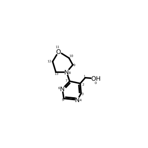 OCc1cn[c]nc1N1CCOCC1